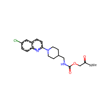 CNC(=O)COC(=O)NCC1CCN(c2ccc3cc(Cl)ccc3n2)CC1